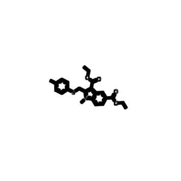 CCOC(=O)c1ccc2c(c1)c(C(=O)OCC)c(CSc1ccc(C)cc1)n2C